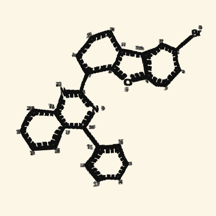 Brc1ccc2oc3c(-c4nc(-c5ccccc5)c5ccccc5n4)cccc3c2c1